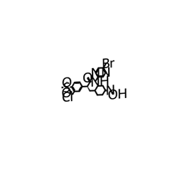 CS(=O)(=O)c1ccc([C@H](CC2CCC(=NO)CC2)C(=O)Nc2cnc(Br)cn2)cc1Cl